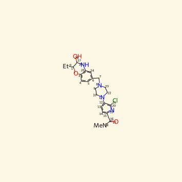 CCC1Oc2ccc(CN3CCN(c4ccc(C(=O)NC)nc4Cl)CC3)cc2NC1O